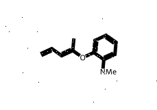 C=C/C=C(\C)Oc1ccccc1NC